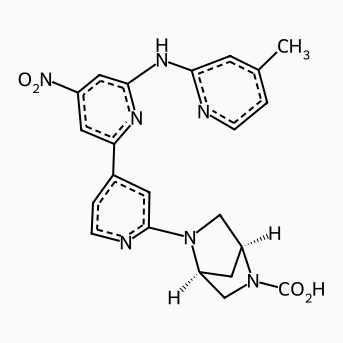 Cc1ccnc(Nc2cc([N+](=O)[O-])cc(-c3ccnc(N4C[C@@H]5C[C@H]4CN5C(=O)O)c3)n2)c1